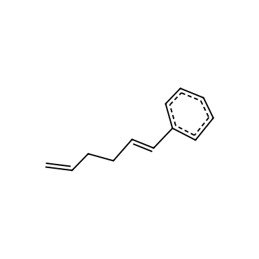 C=CCCC=Cc1ccccc1